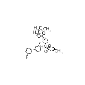 COCS(=O)(=O)N[C@H]1CCN(C(=O)OC(C)(C)C)[C@H]1Cc1cccc(-c2cccc(F)c2)c1